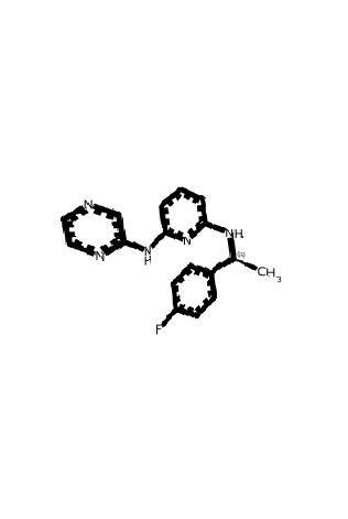 C[C@H](Nc1[c]ccc(Nc2cnccn2)n1)c1ccc(F)cc1